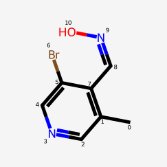 Cc1cncc(Br)c1/C=N\O